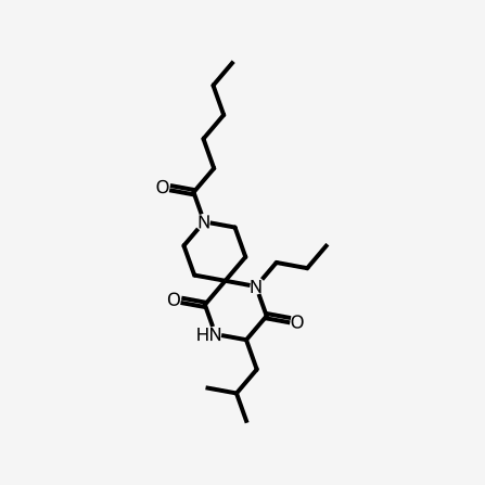 CCCCCC(=O)N1CCC2(CC1)C(=O)NC(CC(C)C)C(=O)N2CCC